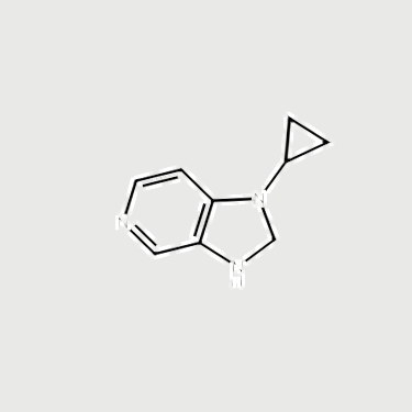 c1cc2c(cn1)NCN2C1CC1